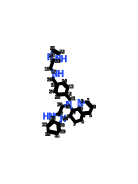 c1cnc2c(c1)CCCC2N(Cc1ccc(CNCc2ncc[nH]2)cc1)Cc1nc2ccccc2[nH]1